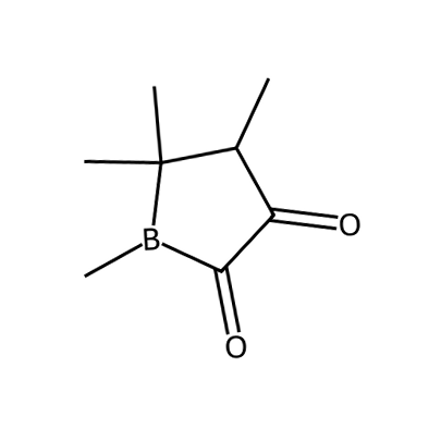 CB1C(=O)C(=O)C(C)C1(C)C